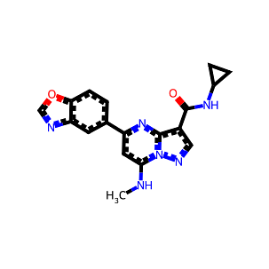 CNc1cc(-c2ccc3ocnc3c2)nc2c(C(=O)NC3CC3)cnn12